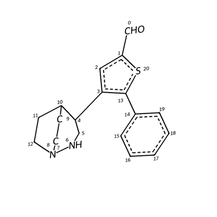 O=Cc1cc(C2CNN3CCC2CC3)c(-c2ccccc2)s1